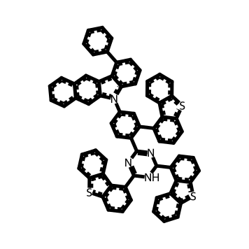 c1ccc(-c2cccc3c2c2cc4ccccc4cc2n3-c2ccc(C3=NC(c4cccc5sc6ccccc6c45)NC(c4cccc5sc6ccccc6c45)=N3)c(-c3cccc4sc5ccccc5c34)c2)cc1